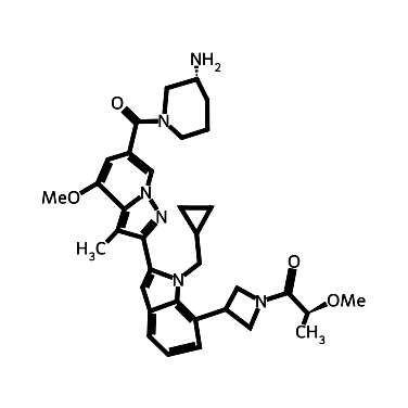 COc1cc(C(=O)N2CCC[C@@H](N)C2)cn2nc(-c3cc4cccc(C5CN(C(=O)[C@H](C)OC)C5)c4n3CC3CC3)c(C)c12